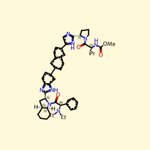 CCN(CC)[C@@H](C(=O)N1[C@H](c2nc3ccc(-c4ccc5cc(-c6cnc([C@@H]7CCCN7C(=O)[C@@H](NC(=O)OC)C(C)C)[nH]6)ccc5c4)cc3[nH]2)C[C@@H]2CCCC[C@@H]21)c1ccccc1